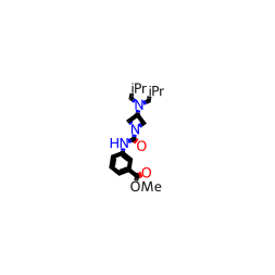 COC(=O)c1cccc(NC(=O)N2CC(N(CC(C)C)CC(C)C)C2)c1